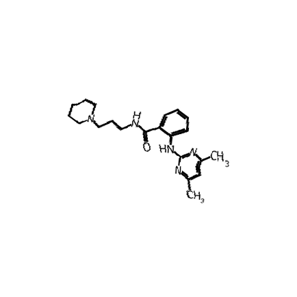 Cc1cc(C)nc(Nc2ccccc2C(=O)NCCCN2CCCCC2)n1